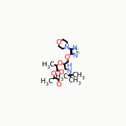 CC(C=O)OC(=O)C(C)OC(CNC(C)(C)C)COc1nsnc1N1CCOCC1